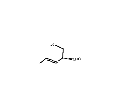 CC=N[C@H](C=O)CC(C)C